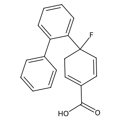 O=C(O)C1=CCC(F)(c2ccccc2-c2ccccc2)C=C1